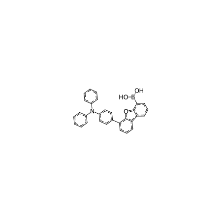 OB(O)c1cccc2c1oc1c(-c3ccc(N(c4ccccc4)c4ccccc4)cc3)cccc12